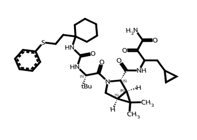 CC(C)(C)[C@H](NC(=O)NC1(CCSc2ccccc2)CCCCC1)C(=O)N1C[C@H]2[C@@H]([C@H]1C(=O)NC(CC1CC1)C(=O)C(N)=O)C2(C)C